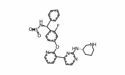 O=[SH](=O)N[C@@H](c1ccccc1)c1ccc(Oc2ncccc2-c2ccnc(N[C@H]3CCCNC3)n2)cc1F